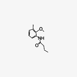 CCCC(=O)Nc1cccc(C)c1OC